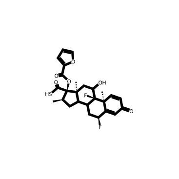 C[C@@H]1CC2C3C[C@H](F)C4=CC(=O)C=C[C@]4(C)[C@@]3(F)C(O)C[C@]2(C)[C@@]1(OC(=O)c1ccco1)C(=O)S